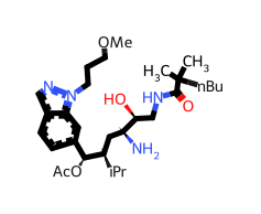 CCCCC(C)(C)C(=O)NC[C@H](O)[C@@H](N)C[C@@H](C(C)C)[C@H](OC(C)=O)c1ccc2cnn(CCCOC)c2c1